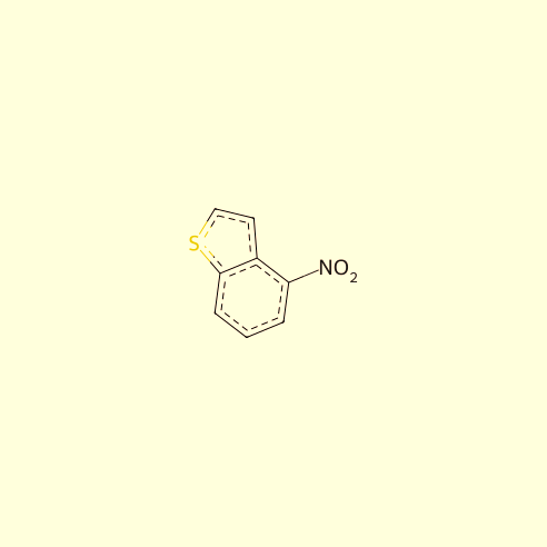 O=[N+]([O-])c1cccc2sccc12